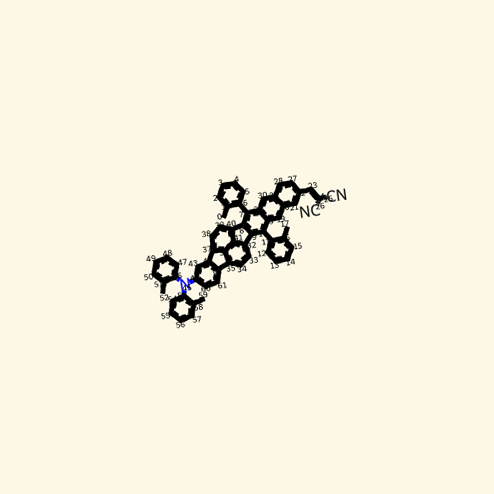 Cc1ccccc1-c1c2c(c(-c3ccccc3C)c3cc4cc(C=C(C#N)C#N)ccc4cc13)-c1ccc3c4c(ccc-2c14)-c1cc(N(c2ccccc2C)c2ccccc2C)ccc1-3